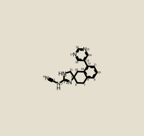 N#CNC1=NC2(CCc3cccc(-c4cncnc4)c3C2)CN1